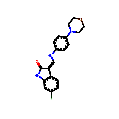 O=C1Nc2cc(F)ccc2C1=CNc1ccc(N2CCSCC2)cc1